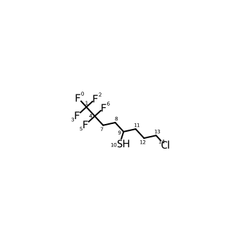 FC(F)(F)C(F)(F)CCC(S)CCCCl